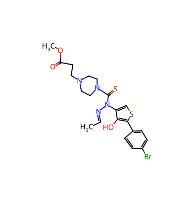 C/C=N/N(C(=S)N1CCN(CCC(=O)OC)CC1)c1csc(-c2ccc(Br)cc2)c1O